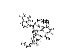 CCNC[C@H]1CN(c2cncc3ccccc23)C(=O)[C@@]12CN(Cc1cc(C)no1)C(=O)c1ccc(Cl)cc12